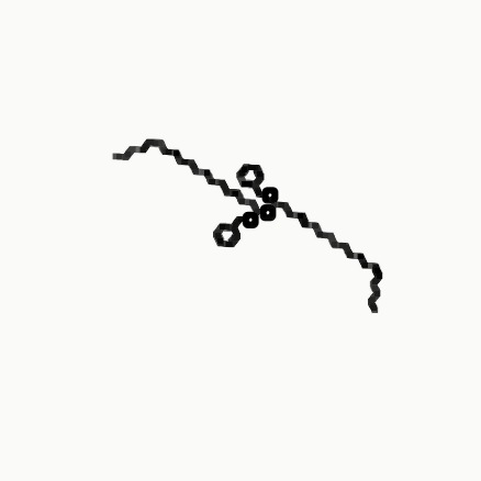 CCCC/C=C\CCCCCCCC/C=C/CCC(OCc1ccccc1)OC(CC/C=C/CCCCCCCC/C=C\CCCC)OCc1ccccc1